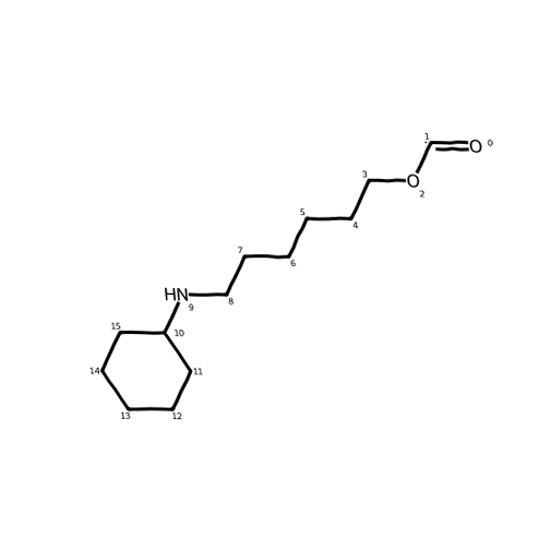 O=[C]OCCCCCCNC1CCCCC1